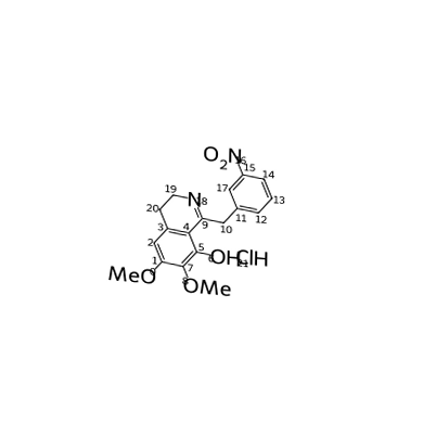 COc1cc2c(c(O)c1OC)C(Cc1cccc([N+](=O)[O-])c1)=NCC2.Cl